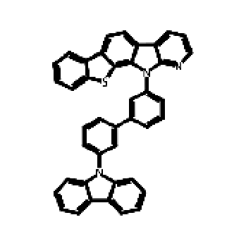 c1cc(-c2cccc(-n3c4ncccc4c4ccc5c6ccccc6sc5c43)c2)cc(-n2c3ccccc3c3ccccc32)c1